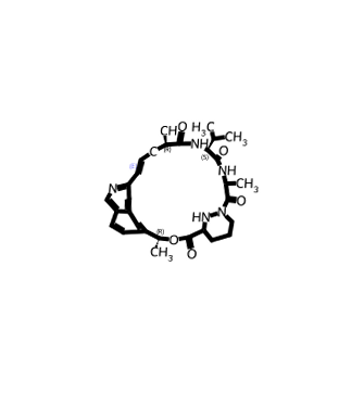 CC1NC(=O)[C@H](C(C)C)NC(=O)[C@H](C)C/C=C/c2cc3cc(ccc3cn2)[C@@H](C)OC(=O)C2CCCN(N2)C1=O